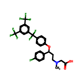 CN(CCC(Oc1ccc(C(F)(F)c2cc(C(F)(F)F)cc(C(F)(F)F)c2)cc1)c1ccc(F)cc1)CC(=O)O